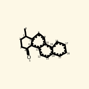 CC1CCC(=O)c2c1ccc1c2ccc2ccccc21